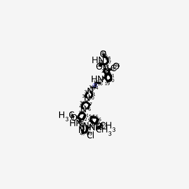 COc1cc(N2CCC(N3CCN(C/C=C/CNc4cccc5c4CN(C4CCC(=O)NC4=O)C5=C=O)CC3)CC2)ccc1Nc1ncc(Cl)c(Nc2ccccc2P(C)C)n1